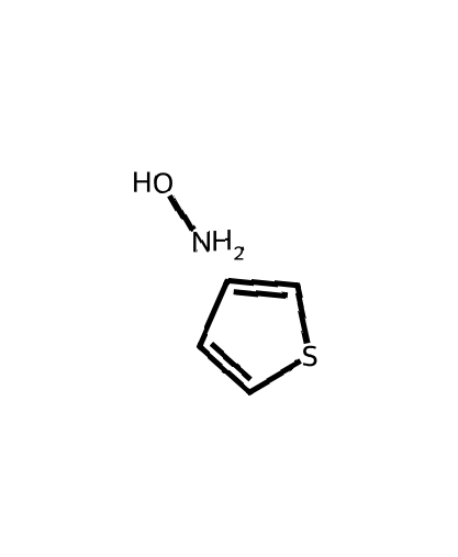 NO.c1ccsc1